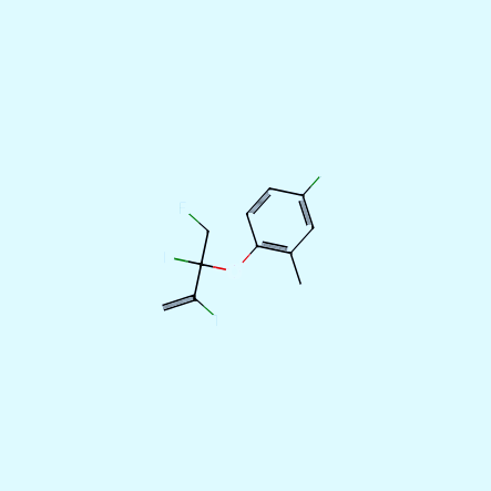 C=C(F)C(F)(CF)Oc1ccc(F)cc1C